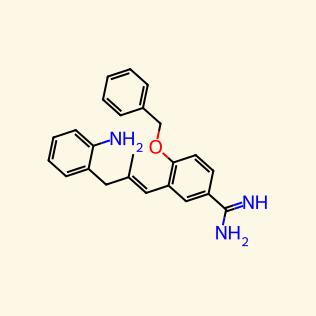 CC(=Cc1cc(C(=N)N)ccc1OCc1ccccc1)Cc1ccccc1N